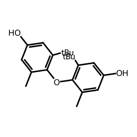 Cc1cc(O)cc(C(C)(C)C)c1Oc1c(C)cc(O)cc1C(C)(C)C